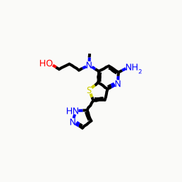 CN(CCCO)c1cc(N)nc2cc(-c3ccn[nH]3)sc12